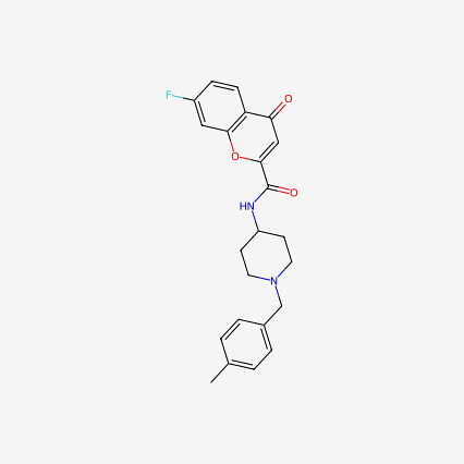 Cc1ccc(CN2CCC(NC(=O)c3cc(=O)c4ccc(F)cc4o3)CC2)cc1